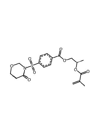 C=C(C)C(=O)OC(C)COC(=O)c1ccc(S(=O)(=O)N2COCCC2=O)cc1